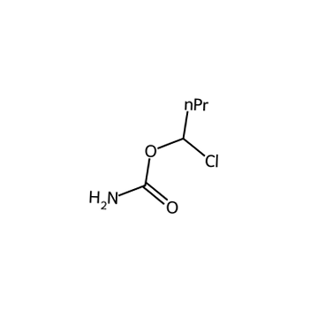 CCCC(Cl)OC(N)=O